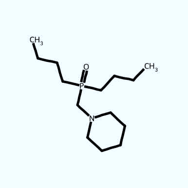 CCCCP(=O)(CCCC)CN1CCCCC1